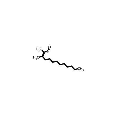 CCCCCCCCCCC(C)=C(C)N=O